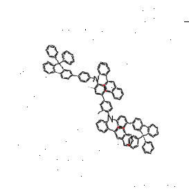 Cc1cc(-c2ccc(N(c3ccc(-c4ccc5c(c4)C(c4ccccc4)(c4ccccc4)c4ccccc4-5)cc3)c3ccccc3-c3ccc4ccccc4c3)c(C)c2)ccc1N(c1ccc(-c2ccc3c(c2)C(c2ccccc2)(c2ccccc2)c2ccccc2-3)cc1)c1ccccc1-c1ccc2ccccc2c1